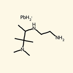 CC(NCCN)C(C)(C)N(C)C.[PbH2]